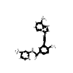 Cc1ccc(C(=O)Nc2cc(C(F)(F)F)ccn2)cc1C#Cc1cnc2c(C)cccn12